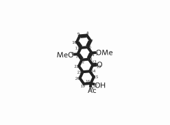 COc1c2c(c(OC)c3ccccc13)C(=O)C1CC(O)(C(C)=O)CCC1C2